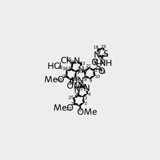 COc1cc2cnc(Nc3ccc(S(=O)(=O)Nc4nccs4)cc3)nc2cc1OC.COc1cc2ncnc(Cl)c2cc1OC.Cl